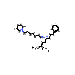 CC(C)CCC(CCCc1ccccc1)NCCCCCCCN1CCCCC1